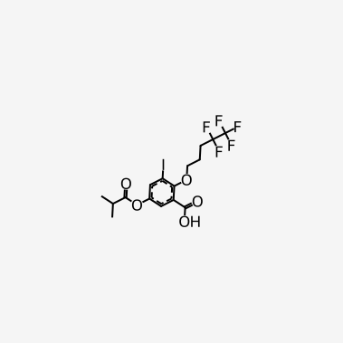 CC(C)C(=O)Oc1cc(I)c(OCCCC(F)(F)C(F)(F)F)c(C(=O)O)c1